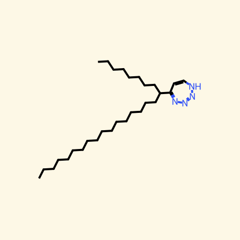 CCCCCCCCCCCCCCCCCC(CCCCCCCC)C1=NN=NNC=C1